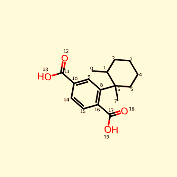 CC1CCCCC1(C)c1cc(C(=O)O)ccc1C(=O)O